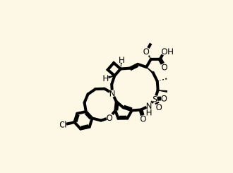 CO[C@H](C(=O)O)[C@@H]1/C=C/[C@@H]2CC[C@H]2CN2CCCCc3cc(Cl)ccc3COc3ccc(cc32)C(=O)NS(=O)(=O)[C@H](C)[C@@H](C)C1